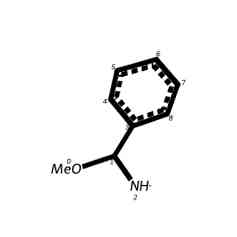 COC([NH])c1ccccc1